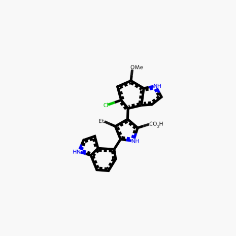 CCc1c(-c2cccc3[nH]ccc23)[nH]c(C(=O)O)c1-c1c(Cl)cc(OC)c2[nH]ccc12